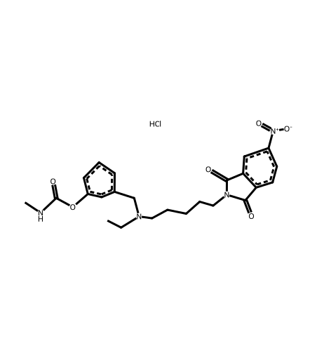 CCN(CCCCCN1C(=O)c2ccc([N+](=O)[O-])cc2C1=O)Cc1cccc(OC(=O)NC)c1.Cl